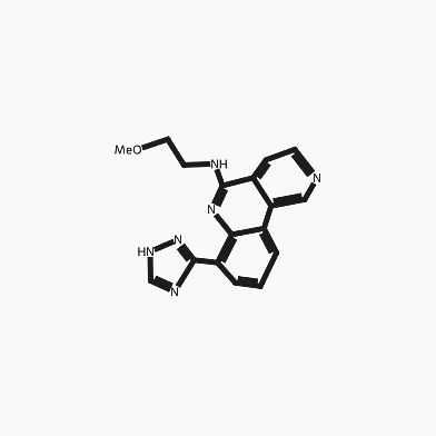 COCCNc1nc2c(-c3nc[nH]n3)cccc2c2cnccc12